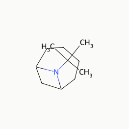 CC(C)(C)N1C2CCCCC1C2